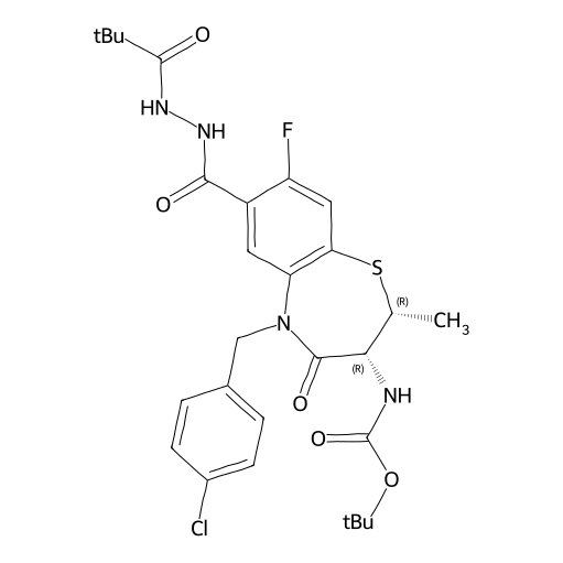 C[C@H]1Sc2cc(F)c(C(=O)NNC(=O)C(C)(C)C)cc2N(Cc2ccc(Cl)cc2)C(=O)[C@H]1NC(=O)OC(C)(C)C